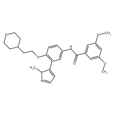 COc1cc(OC)cc(C(=O)Nc2ccc(OCCN3CCOCC3)c(-c3ccnn3C)c2)c1